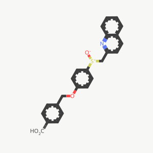 O=C(O)c1ccc(COc2ccc([S+]([O-])Cc3ccc4ccccc4n3)cc2)cc1